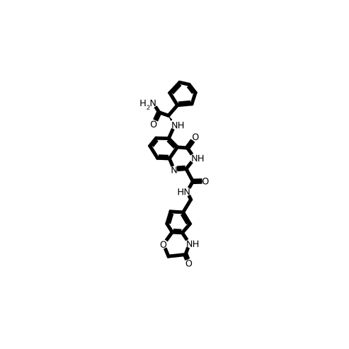 NC(=O)[C@@H](Nc1cccc2nc(C(=O)NCc3ccc4c(c3)NC(=O)CO4)[nH]c(=O)c12)c1ccccc1